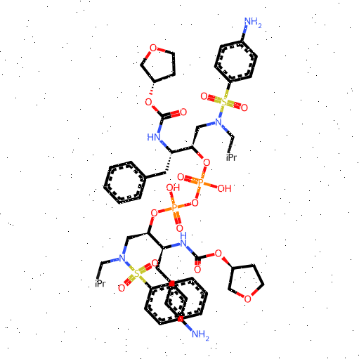 CC(C)CN(C[C@@H](OP(=O)(O)OP(=O)(O)O[C@H](CN(CC(C)C)S(=O)(=O)c1ccc(N)cc1)[C@H](Cc1ccccc1)NC(=O)O[C@H]1CCOC1)[C@H](Cc1ccccc1)NC(=O)O[C@H]1CCOC1)S(=O)(=O)c1ccc(N)cc1